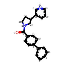 O=C(c1ccc(-c2ccccc2)cc1)N1CCC(c2cccnc2)C1